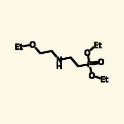 CCOCCNCCP(=O)(OCC)OCC